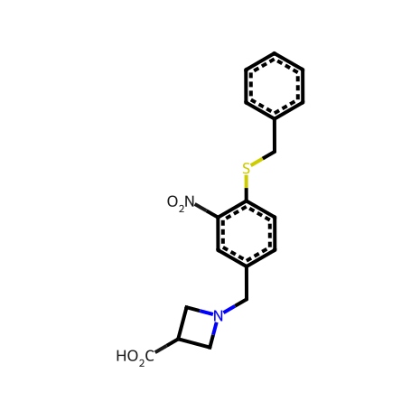 O=C(O)C1CN(Cc2ccc(SCc3ccccc3)c([N+](=O)[O-])c2)C1